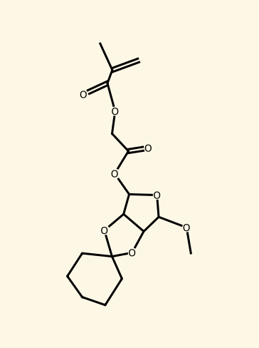 C=C(C)C(=O)OCC(=O)OC1OC(OC)C2OC3(CCCCC3)OC12